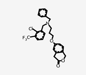 O=C1Cc2cc(OCCCN(Cc3ccccc3)Cc3cccc(C(F)(F)F)c3Cl)ccc2CO1